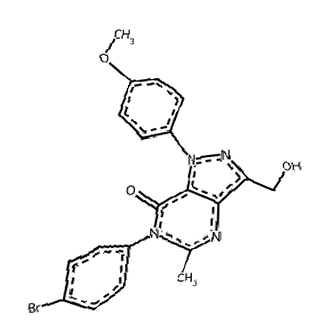 COc1ccc(-n2nc(CO)c3nc(C)n(-c4ccc(Br)cc4)c(=O)c32)cc1